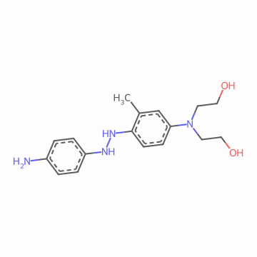 Cc1cc(N(CCO)CCO)ccc1NNc1ccc(N)cc1